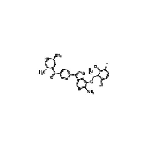 C[C@@H]1CN[C@@H](C)CN1C(=O)c1ccc(-c2coc3c(O[C@H](C)c4c(Cl)ccc(F)c4Cl)c(N)ncc23)cc1